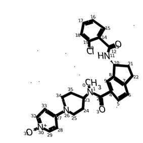 CN(C(=O)c1ccc2c(c1)[C@H](NC(=O)c1ccccc1Cl)CC2)C1CCN(c2cc[n+]([O-])cc2)CC1